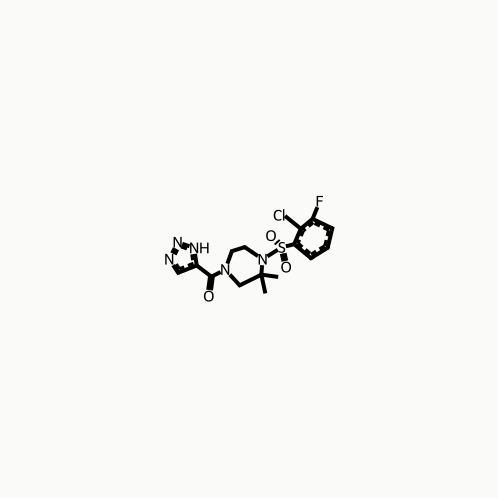 CC1(C)CN(C(=O)c2cnn[nH]2)CCN1S(=O)(=O)c1cccc(F)c1Cl